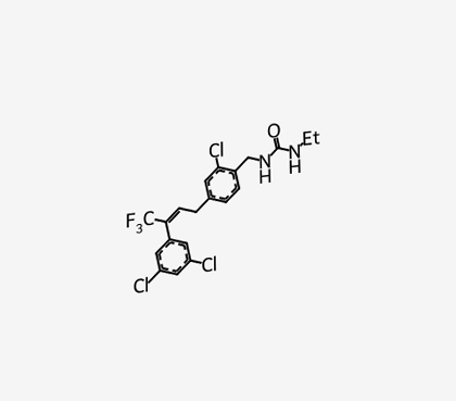 CCNC(=O)NCc1ccc(CC=C(c2cc(Cl)cc(Cl)c2)C(F)(F)F)cc1Cl